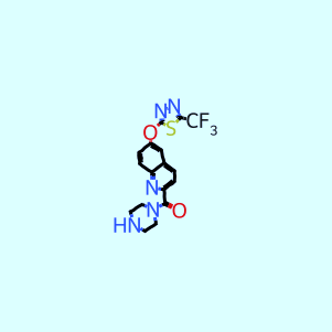 O=C(c1ccc2cc(Oc3nnc(C(F)(F)F)s3)ccc2n1)N1CCNCC1